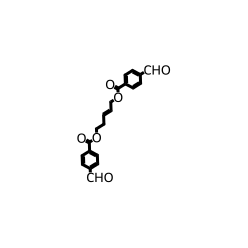 O=Cc1ccc(C(=O)OCC=CCCOC(=O)c2ccc(C=O)cc2)cc1